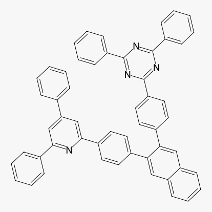 c1ccc(-c2cc(-c3ccccc3)nc(-c3ccc(-c4cc5ccccc5cc4-c4ccc(-c5nc(-c6ccccc6)nc(-c6ccccc6)n5)cc4)cc3)c2)cc1